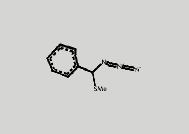 CSC(N=[N+]=[N-])c1ccccc1